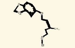 CCOCCC(C)=CCOc1ccc2c(c1)OCO2